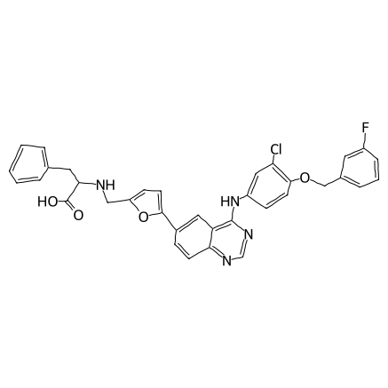 O=C(O)C(Cc1ccccc1)NCc1ccc(-c2ccc3ncnc(Nc4ccc(OCc5cccc(F)c5)c(Cl)c4)c3c2)o1